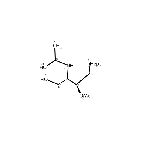 CCCCCCCC[C@@H](OC)[C@H](CO)NC(C)O